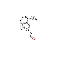 Cc1cccc(C)c1C=CCC=O